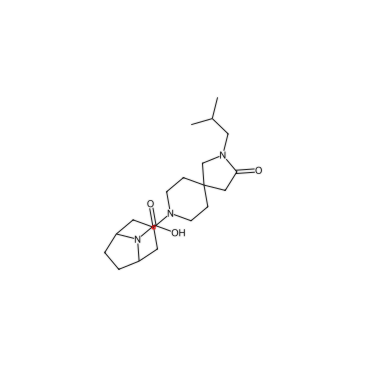 CC(C)CN1CC2(CCN(C3CC4CCC(C3)N4C(=O)O)CC2)CC1=O